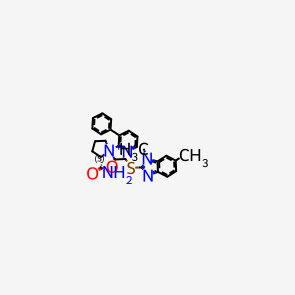 Cc1ccc2nc(SCC(=O)[N+]3(c4ncccc4-c4ccccc4)CCC[C@H]3C(N)=O)n(C)c2c1